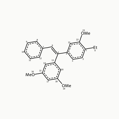 CCc1ccc(C(=Cc2ccccc2)c2cc(OC)cc(OC)c2)cc1OC